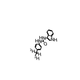 [2H]CC([2H])([2H])c1ccc(NC(=O)Nc2c[nH]c3ccccc23)cc1